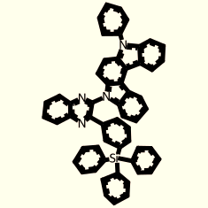 c1ccc(-n2c3ccccc3c3c4c5ccccc5n(-c5nc6ccccc6nc5-c5cccc([Si](c6ccccc6)(c6ccccc6)c6ccccc6)c5)c4ccc32)cc1